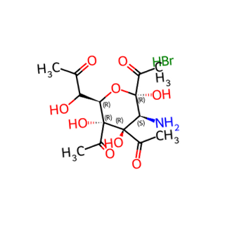 Br.CC(=O)C(O)[C@H]1O[C@@](O)(C(C)=O)[C@@H](N)[C@](O)(C(C)=O)[C@@]1(O)C(C)=O